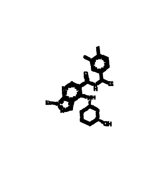 CCC(NC(=O)c1cnc2c(cnn2CC)c1N[C@H]1CCC[C@H](O)C1)c1ccc(C)c(C)c1